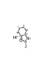 I.Ic1nc2ccccc2o1